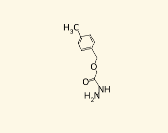 Cc1ccc(COCC(=O)NN)cc1